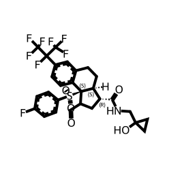 O=CC1C[C@@H](C(=O)NCC2(O)CC2)[C@@H]2CCc3cc(C(F)(C(F)(F)F)C(F)(F)F)ccc3[C@@]12S(=O)(=O)c1ccc(F)cc1